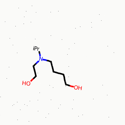 CC(C)N(CCO)CCCCO